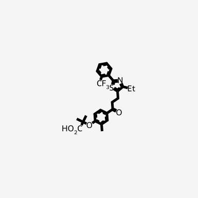 CCc1nc(-c2ccccc2C(F)(F)F)sc1CCC(=O)c1ccc(OC(C)(C)C(=O)O)c(C)c1